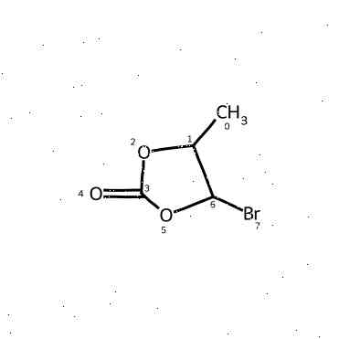 CC1OC(=O)OC1Br